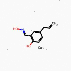 C=CCc1ccc(O)c(C=NO)c1.[Cu]